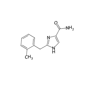 Cc1ccccc1Cc1nc(C(N)=O)c[nH]1